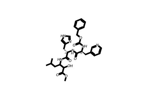 COC(=O)C(O)C(CC(C)C)NC(=O)[C@H](Cc1c[nH]cn1)NC(=O)[C@H](Cc1cccnc1)NC(=O)OCc1ccccc1